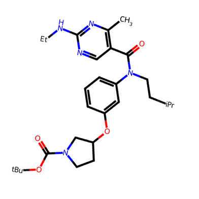 CCNc1ncc(C(=O)N(CCC(C)C)c2cccc(OC3CCN(C(=O)OC(C)(C)C)C3)c2)c(C)n1